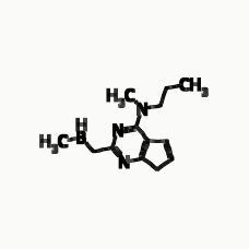 CBCc1nc2c(c(N(C)CCC)n1)C=CC2